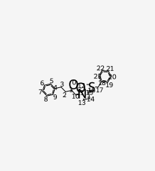 O=C(CCc1ccccc1)C[N+]1([O-])CCC1SCc1ccccc1